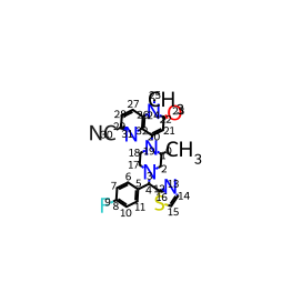 C[C@H]1CN(C(c2ccc(F)cc2)c2nccs2)CCN1c1cc(=O)n(C)c2ccc(C#N)nc12